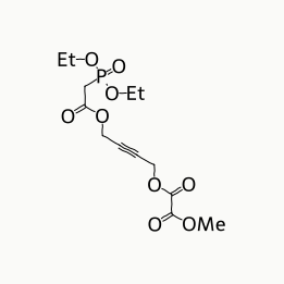 CCOP(=O)(CC(=O)OCC#CCOC(=O)C(=O)OC)OCC